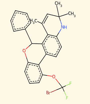 CC1=CC(C)(C)Nc2ccc3c(c21)C(c1ccccc1)Oc1cccc(OC(F)(F)Br)c1-3